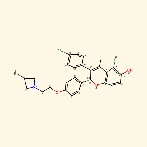 CCC1CN(CCOc2ccc([C@H]3Oc4ccc(O)c(F)c4C(C)=C3c3ccc(F)cc3)cc2)C1